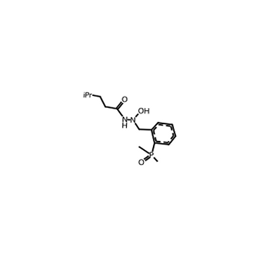 CC(C)CCC(=O)NN(O)Cc1ccccc1P(C)(C)=O